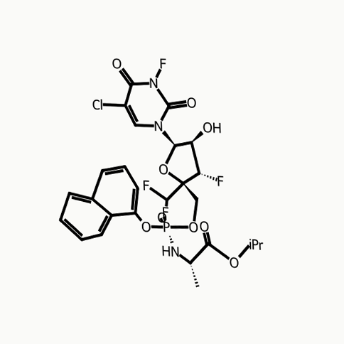 CC(C)OC(=O)[C@H](C)N[P@](=O)(OC[C@@]1(C(F)F)O[C@@H](n2cc(Cl)c(=O)n(F)c2=O)[C@@H](O)[C@@H]1F)Oc1cccc2ccccc12